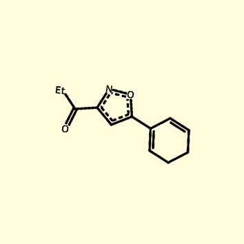 CCC(=O)c1cc(C2=CCCC=C2)on1